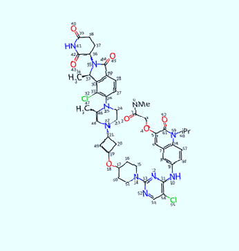 CNC(=O)COc1cc2cc(Nc3nc(N4CCC(OC5CC(N6CCN(c7ccc8c(c7Cl)[C@@H](C)N([C@@H]7CCC(=O)NC7=O)C8=O)[C@H](C)C6)C5)CC4)ncc3Cl)ccc2n(C(C)C)c1=O